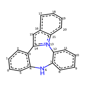 c1ccc2c(c1)Nc1ccccc1-n1c-2cc2ccccc21